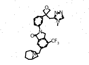 Cn1cnnc1CC1(c2cccc(N3Cc4c(cc(CN5C6CCCC5CC6)cc4C(F)(F)F)C3=O)c2)COC1